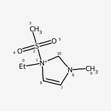 CC[N+]1(S(C)(=O)=O)C=CN(C)C1